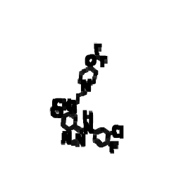 COc1cc2ncnc(Nc3ccc(F)c(Cl)c3)c2cc1OCCCN1CCC(OC(F)F)CC1